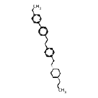 CCC[C@H]1CC[C@H](CCc2ccc(CCc3ccc(-c4ccc(CC)cc4)cc3)cc2)CC1